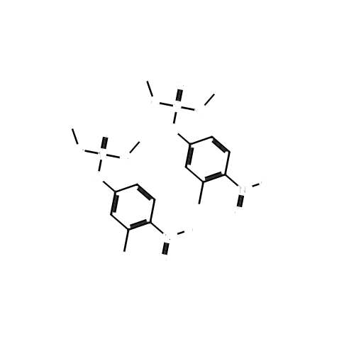 COP(=S)(OC)Oc1ccc([N+](=O)[O-])c(C)c1.COP(=S)(OC)Oc1ccc([N+](=O)[O-])c(C)c1